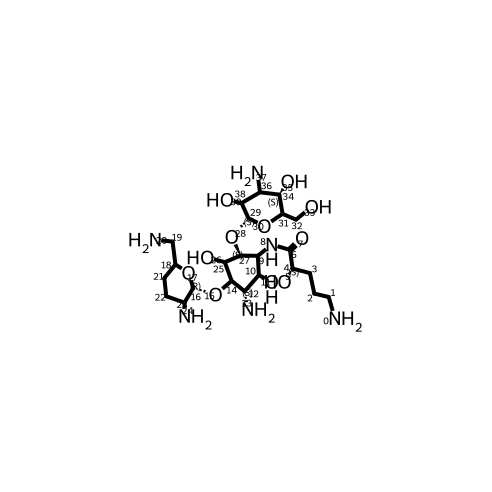 NCCC[C@H](O)C(=O)NC1C(O)[C@H](N)C(O[C@H]2OC(CN)CCC2N)C(O)[C@H]1O[C@H]1OC(CO)[C@@H](O)C(N)C1O